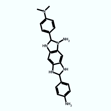 CN(C)c1ccc(C2Nc3cc4c(cc3N2N)NC(c2ccc(N)cc2)N4)cc1